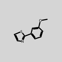 COc1[c]ccc(-c2nccs2)c1